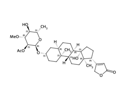 CO[C@@H]1[C@@H](O)[C@H](C)O[C@@H](O[C@H]2CC[C@@]3(C)[C@H](CC[C@@H]4[C@@H]3CC[C@]3(C)[C@@H](C5=CC(=O)OC5)CC[C@]43O)C2)[C@H]1OC(C)=O